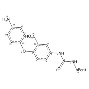 CCCCCNC(=O)Nc1ccc(Oc2ccc(N)cc2)c(C(=O)O)c1